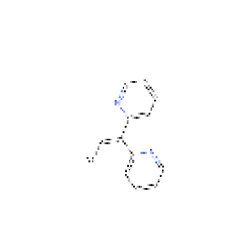 N#CC=C(c1ccccn1)c1ccccn1